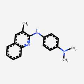 Cc1cc2ccccc2nc1Nc1ccc(N(C)C)cc1